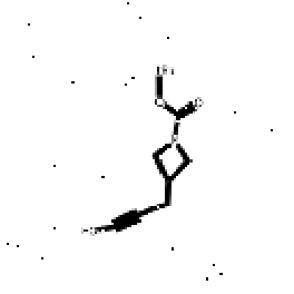 CC(C)(C)OC(=O)N1CC(CC#CO)C1